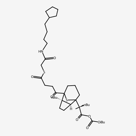 CCCC[C@@]12CC[C@@H]1C1([C@](C)(CCCC)C(=O)OC(=O)OCC(C)C)CCCC2(C(=O)CCC(=O)SCC(=O)NCCCCC2CCCC2)S1